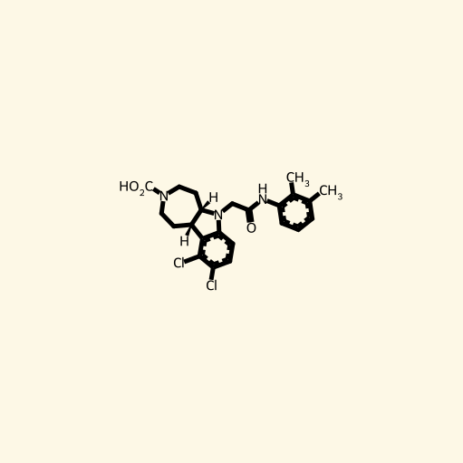 Cc1cccc(NC(=O)CN2c3ccc(Cl)c(Cl)c3[C@@H]3CCN(C(=O)O)CC[C@@H]32)c1C